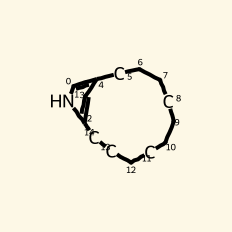 c1[nH]c2cc1CCCCCCCCCC2